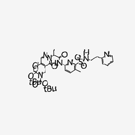 Cc1ccc(NC(=O)C(C)n2ncc(Cl)c(CN(C(=O)OC(C)(C)C)C(=O)OC(C)(C)C)c2=O)nc1S(=O)(=O)NCCc1ccccn1